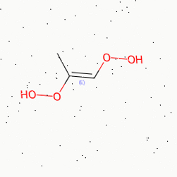 C/C(=C\OO)OO